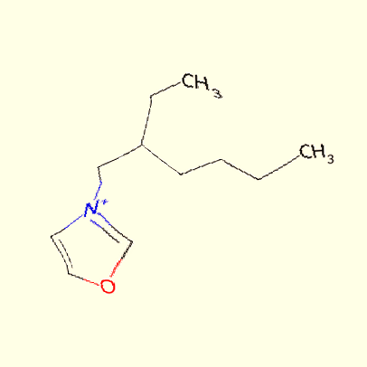 CCCCC(CC)C[n+]1ccoc1